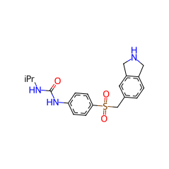 CC(C)NC(=O)Nc1ccc(S(=O)(=O)Cc2ccc3c(c2)CNC3)cc1